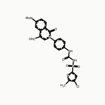 CNc1ccc2c(=O)n(-c3ccc(NC(=O)NS(=O)(=O)c4cc(Cl)c(C)s4)cc3)cc(C=O)c2c1